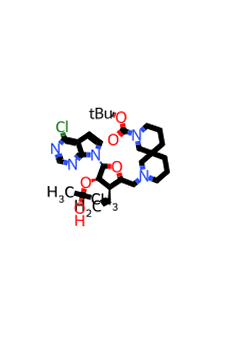 C=C[C@@H]1C(CN2CCCC3(CCCN(C(=O)OC(C)(C)C)C3)C2)O[C@@H](n2ccc3c(Cl)ncnc32)[C@@H]1OC(C)(C)O